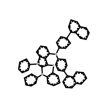 c1ccc(N2c3ccccc3Sc3c2n(-c2ccccc2)c2cccc(N(c4ccc(-c5cccc6ccccc56)cc4)c4ccc(-c5cccc6ccccc56)cc4)c32)cc1